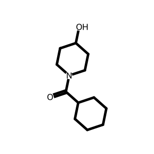 O=C(C1CCCCC1)N1CCC(O)CC1